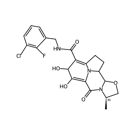 C[C@@H]1COC2C3CCC4=C(C(=O)NCc5cccc(Cl)c5F)C(O)C(O)=C(C(=O)N21)N43